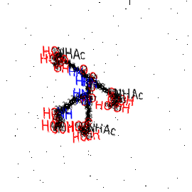 CC(=O)NC1C(OCCCCCCNC(=O)CCC(NC(=O)CCC(NC(=O)CCCCCCCCCN[C@](C)(O)[C@@H]2C[C@H](O)[C@@H](CO)O2)C(=O)NCCCCCCOC2OC(CO)C(O)C(O)C2NC(C)=O)C(=O)NCCCCCCOC2OC(CO)C(O)C(O)C2NC(C)=O)OC(CO)C(O)C1O